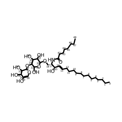 CCCCCCCCCCCCC/C=C/[C@@H](O)[C@H](COC1OC(O)C(OC2OC=C(O)C(O)C2O)C(O)C1O)NC(=O)CCCCCCC